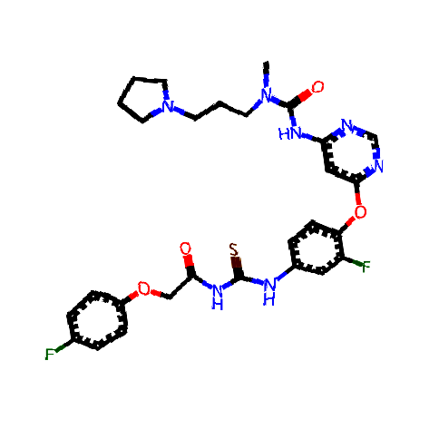 CN(CCCN1CCCC1)C(=O)Nc1cc(Oc2ccc(NC(=S)NC(=O)COc3ccc(F)cc3)cc2F)ncn1